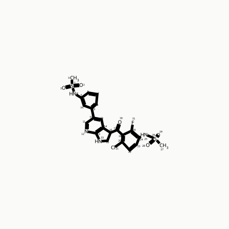 CS(=O)(=O)Nc1cccc(-c2cnc3c(c2)C(C(=O)c2c(Cl)ccc(NS(C)(=O)=O)c2F)CN3)c1